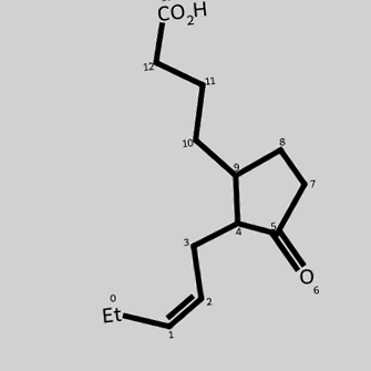 CC/C=C\CC1C(=O)CCC1CCCC(=O)O